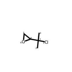 CC(C)(Cl)C1CO1